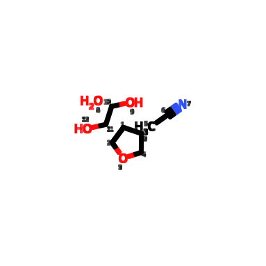 C1CCOC1.CC#N.O.OCCO